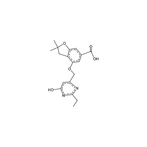 CCc1nc(O)cc(COc2cc(C(=O)O)cc3c2CC(C)(C)O3)n1